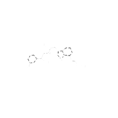 C[C@H](Cc1c[nH]c2c(OCC(=O)O)cccc12)NCC(O)c1cccc(Cl)c1